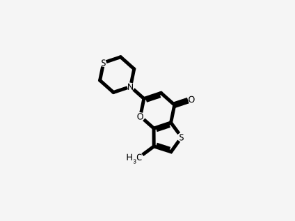 Cc1csc2c(=O)cc(N3CCSCC3)oc12